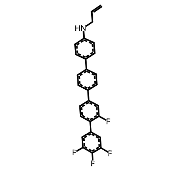 C=CCNc1ccc(-c2ccc(-c3ccc(-c4cc(F)c(F)c(F)c4)c(F)c3)cc2)cc1